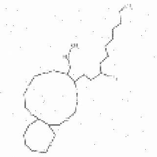 CCCCCCCCC(C)CCC1CCCCCC2CCCCCCCC2CCCCCCCC1CNC